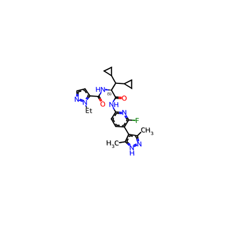 CCn1nccc1C(=O)N[C@H](C(=O)Nc1ccc(-c2c(C)n[nH]c2C)c(F)n1)C(C1CC1)C1CC1